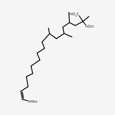 CCCCCC/C=C\CCCCCCCCC(C)CC(C)CC(C)CC(C)(CCCCCCCC)C(=O)O